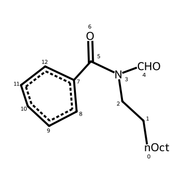 CCCCCCCCCCN(C=O)C(=O)c1ccccc1